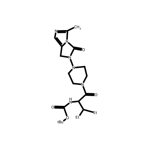 CCC(CC)C(NC(=O)OC(C)(C)C)C(=O)N1CCN(N2Cc3cnc(C)n3C2=O)CC1